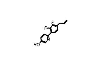 C=CCc1ccc(-c2ccc(O)cn2)c(F)c1F